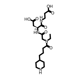 CCN(CC(=O)N[C@@H](CC(=O)O)C(=O)NCCC(=O)O)C(=O)CCCC1CCNCC1